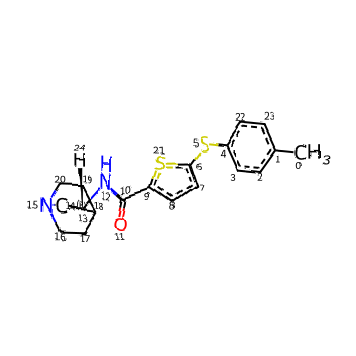 Cc1ccc(Sc2ccc(C(=O)N[C@H]3CN4CCC3CC4)s2)cc1